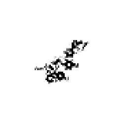 COC[C@H](NC(=O)[C@H](C)NCc1ccc(Cl)cc1Oc1ccc(-c2cnc(CN(C)C)n2C)nc1)C(=O)N(C)[C@@]1(Cc2ccc(Cl)cc2)CCCNC1